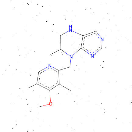 COc1c(C)cnc(CN2c3ncncc3NCC2C)c1C